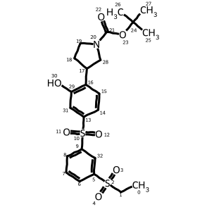 CCS(=O)(=O)c1cccc(S(=O)(=O)c2ccc(C3CCN(C(=O)OC(C)(C)C)C3)c(O)c2)c1